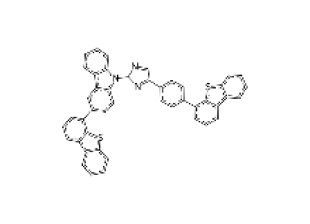 C1=NC(n2c3ccccc3c3cc(-c4cccc5c4sc4ccccc45)ccc32)N=C1c1ccc(-c2cccc3c2sc2ccccc23)cc1